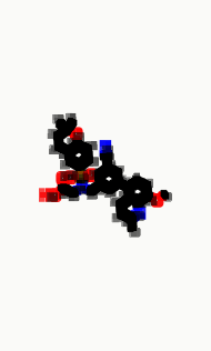 COc1ccc(-c2cc(C#N)cc(CN(CC(=O)O)S(=O)(=O)c3ccc4c(c3)CCC(C)(C)O4)c2)c2ccc(C)nc12